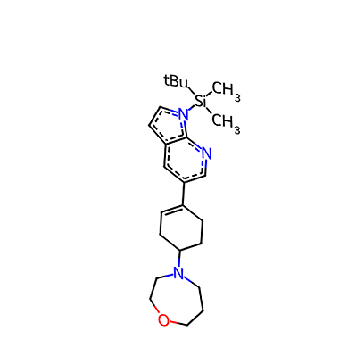 CC(C)(C)[Si](C)(C)n1ccc2cc(C3=CCC(N4CCCOCC4)CC3)cnc21